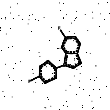 Fc1[c]cc2ccn(-c3ccc(F)cc3)c2c1